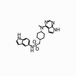 CN(c1ncnc2[nH]ccc12)[C@H]1CC[C@H](CS(=O)(=O)Nc2ccc3[nH]ccc3c2)CC1